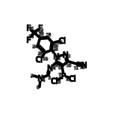 CN(C)/C=N/c1c(P(Cl)Cl)c(C#N)nn1-c1c(Cl)cc(C(F)(F)F)cc1Cl